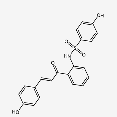 O=C(C=Cc1ccc(O)cc1)c1ccccc1NS(=O)(=O)c1ccc(O)cc1